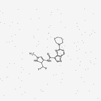 CN1C=C(NC(=O)c2cnn3ccc(N4CCCCC4)nc23)C(C(F)F)N1